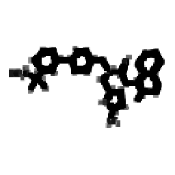 Cc1ccc2ccccc2c1CC(=O)N(Cc1ccc(-c2cccc(C(C)(C)C(=O)O)c2)cc1)Cc1ccc(C(F)(F)F)o1